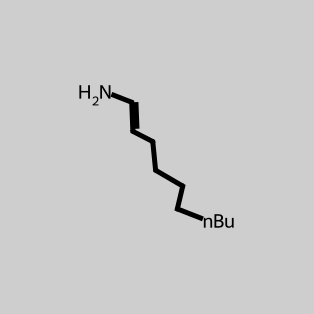 CCCCCCCCC=CN